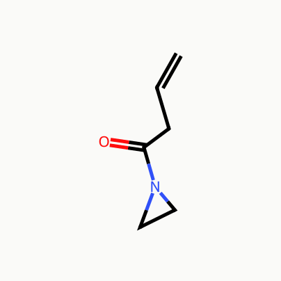 C=CCC(=O)N1CC1